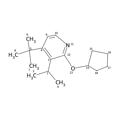 CC(C)c1c(C(C)(C)C)ccnc1OC1CCCC1